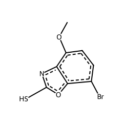 COc1ccc(Br)c2oc(S)nc12